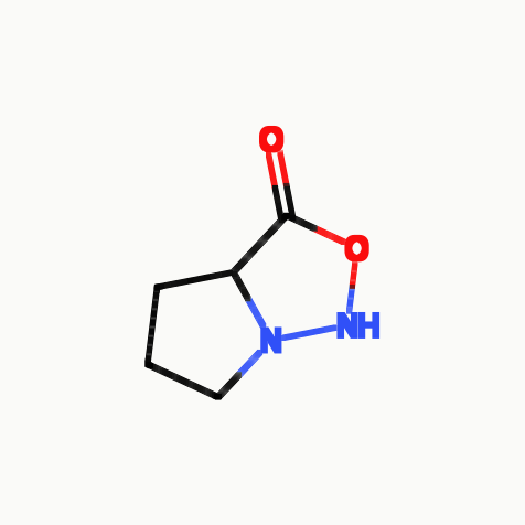 O=C1ONN2CCCC12